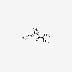 C=C(C)C(=O)OC(C)OCC